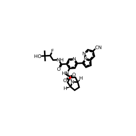 CC(C)(O)C(F)CNC(=O)c1cnc(-c2ccc3cc(C#N)cnn23)cc1NC1C[C@H]2CC[C@@H](C1)N2S(C)(=O)=O